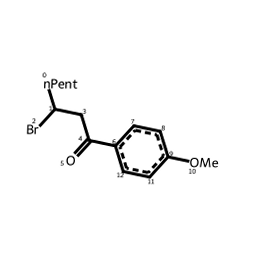 CCCCCC(Br)CC(=O)c1ccc(OC)cc1